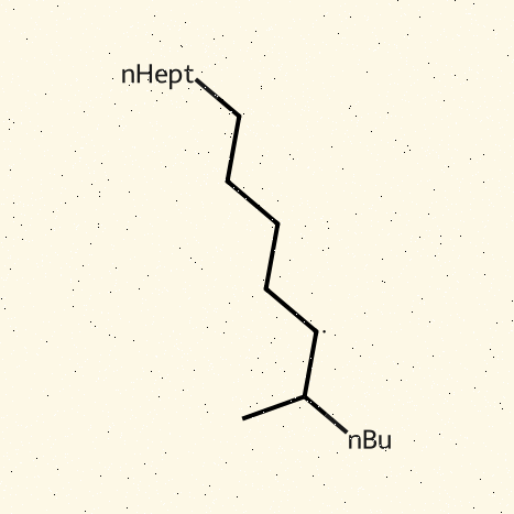 CCCCCCCCCCC[CH]C(C)CCCC